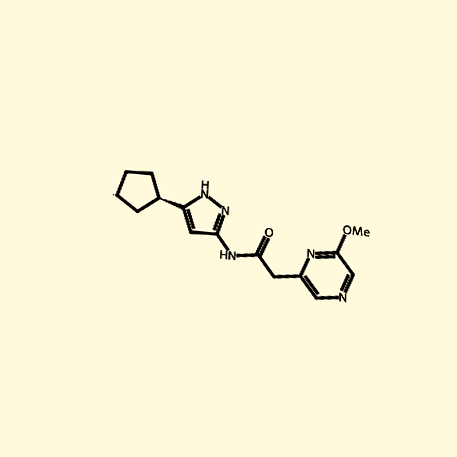 COc1cncc(CC(=O)Nc2cc([C@H]3C[CH]CC3)[nH]n2)n1